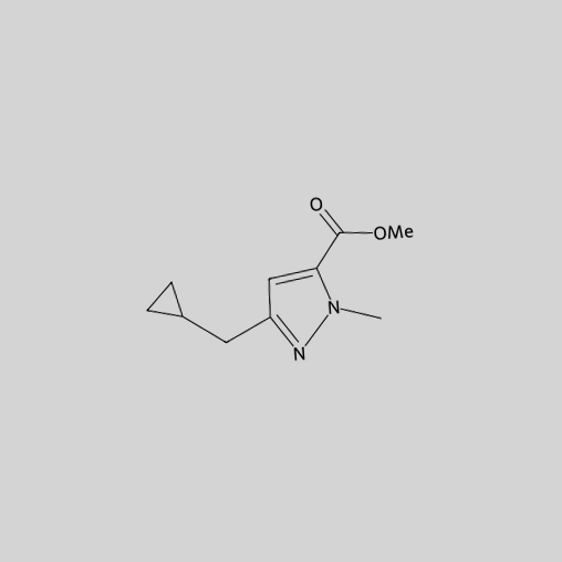 COC(=O)c1cc(CC2CC2)nn1C